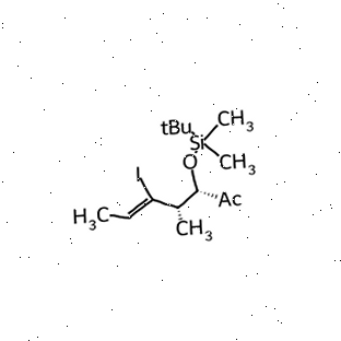 CC=C(I)[C@@H](C)[C@H](O[Si](C)(C)C(C)(C)C)C(C)=O